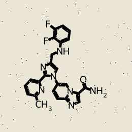 Cc1cccc(-c2nc(CNc3cccc(F)c3F)cn2-c2ccc3ncc(C(N)=O)n3c2)n1